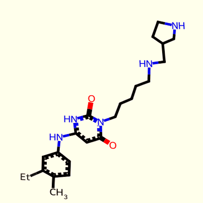 CCc1cc(Nc2cc(=O)n(CCCCCNCC3CCNC3)c(=O)[nH]2)ccc1C